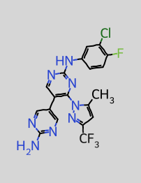 Cc1cc(C(F)(F)F)nn1-c1nc(Nc2ccc(F)c(Cl)c2)ncc1-c1cnc(N)nc1